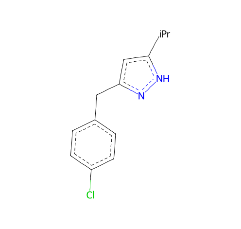 CC(C)c1cc(Cc2ccc(Cl)cc2)n[nH]1